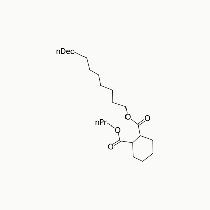 CCCCCCCCCCCCCCCCCOC(=O)C1CCCCC1C(=O)OCCC